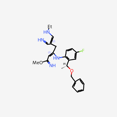 CCN/C=C(\C=N)C/C(=C/C(=N)OC)Nc1ccc(F)cc1[C@@H](C)OCc1ccccc1